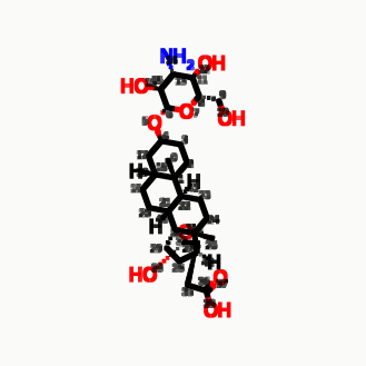 C[C@]12CC[C@H](O[C@H]3O[C@@H](CO)[C@H](O)[C@@H](N)[C@@H]3O)C[C@H]1CC[C@@H]1[C@@H]2CC[C@]2(C)[C@@H]3CC[C@]12O[C@@H](O)[C@H]3CC(=O)O